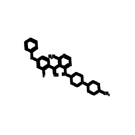 CN1CCC(N2CCC(Nc3ncnc(N)c3C(=N)c3ccc(Oc4ccccc4)cc3F)CC2)CC1